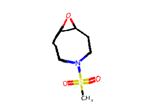 CS(=O)(=O)N1CCC2OC2CC1